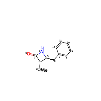 CO[C@@H]1C(=O)N[C@H]1Cc1ccccc1